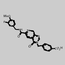 COc1ccc(CNC(=O)c2cc3c(=O)n(Cc4ccc(C(=O)O)cc4)cnc3cn2)cc1F